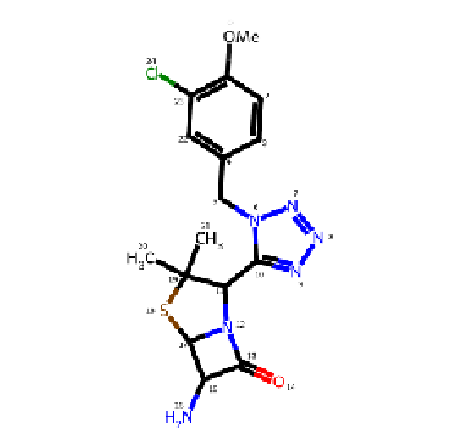 COc1ccc(Cn2nnnc2C2N3C(=O)C(N)C3SC2(C)C)cc1Cl